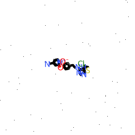 N#Cc1cc[n+]([O-])c(Oc2ccc(CCNc3ncnc4scc(Cl)c34)cc2)c1